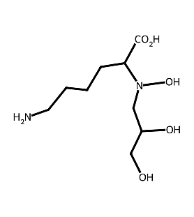 NCCCCC(C(=O)O)N(O)CC(O)CO